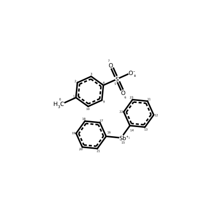 Cc1ccc(S(=O)(=O)[O-])cc1.c1cc[c]([Sb+][c]2ccccc2)cc1